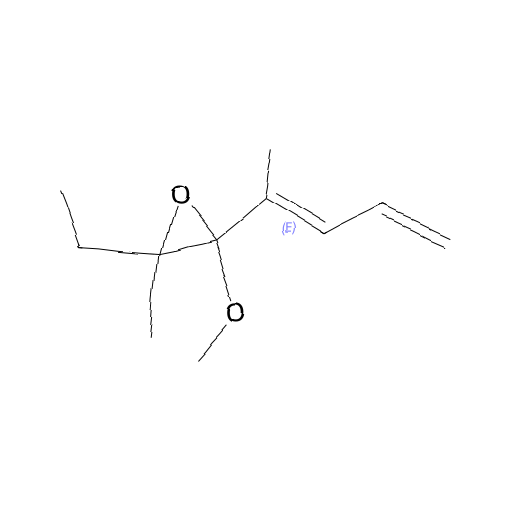 C=C/C=C(\C)C1(OC)OC1(C)CC